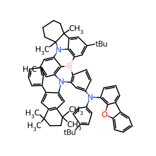 Cc1cc2c3c(c1)N1c4c(cc(C(C)(C)C)cc4C4(C)CCCCC14C)B3c1ccc(N(c3ccc(C(C)(C)C)cc3)c3cccc4c3oc3ccccc34)cc1N2c1cc2c(cc1-c1ccccc1)C(C)(C)CCC2(C)C